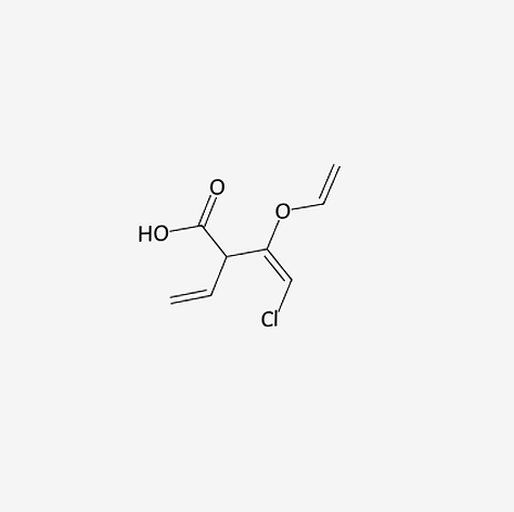 C=COC(=CCl)C(C=C)C(=O)O